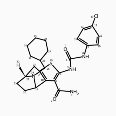 NC(=O)c1c(NC(=O)Nc2ccc(Cl)cc2)sc2c1C1CC[C@H](C2)N1CC1CCCCC1